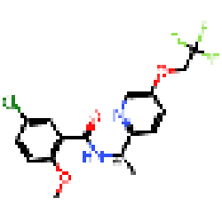 COc1ccc(Cl)cc1C(=O)N[C@H](C)c1ccc(OCC(F)(F)F)cn1